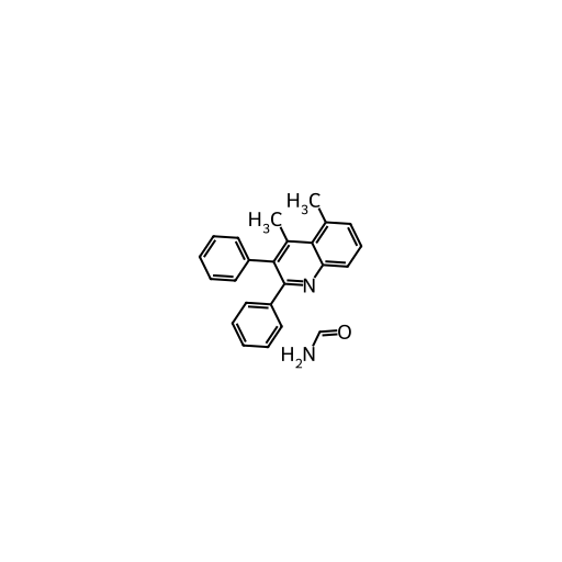 Cc1cccc2nc(-c3ccccc3)c(-c3ccccc3)c(C)c12.NC=O